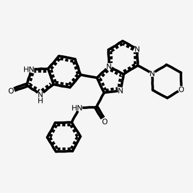 O=C(Nc1ccccc1)c1nc2c(N3CCOCC3)nccn2c1-c1ccc2[nH]c(=O)[nH]c2c1